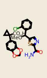 COC(c1cnc(C(N)=O)s1)c1ccccc1Cl.O=C(O)C1(c2ccc3c(c2)OCO3)CC1